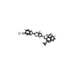 N=C(/C(CO[C@H]1CC2CN(c3nc4ccc(C=O)cc4s3)C[C@@H]2C1)=C(\O)C1CC1)c1c(Cl)cccc1Cl